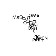 COc1ccc(C(OCC(CNC(=O)NCCCCCCOP(OCCC#N)N(C(C)C)C(C)C)OC(=O)C(Cl)Cl)(c2ccccc2)c2ccc(OC)cc2)cc1